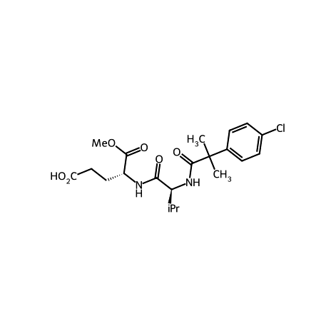 COC(=O)[C@@H](CCC(=O)O)NC(=O)[C@@H](NC(=O)C(C)(C)c1ccc(Cl)cc1)C(C)C